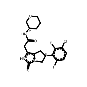 O=C(Cc1[nH]c(=S)n2c1C[C@@H](c1c(F)ccc(Cl)c1F)C2)N[C@@H]1CCCOC1